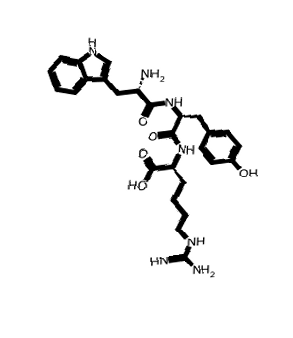 N=C(N)NCCCC[C@H](NC(=O)[C@H](Cc1ccc(O)cc1)NC(=O)[C@@H](N)Cc1c[nH]c2ccccc12)C(=O)O